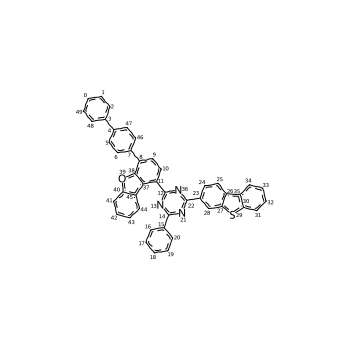 c1ccc(-c2ccc(-c3ccc(-c4nc(-c5ccccc5)nc(-c5ccc6c(c5)sc5ccccc56)n4)c4c3oc3ccccc34)cc2)cc1